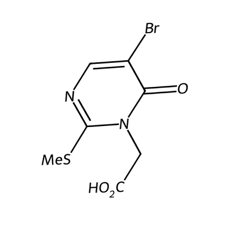 CSc1ncc(Br)c(=O)n1CC(=O)O